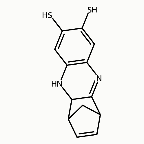 Sc1cc2c(cc1S)NC1C(=N2)C2C=CC1C2